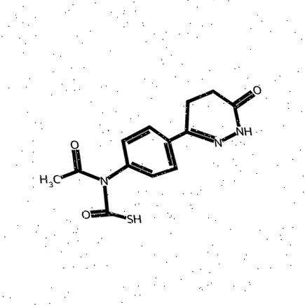 CC(=O)N(C(=O)S)c1ccc(C2=NNC(=O)CC2)cc1